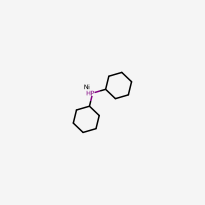 C1CCC(PC2CCCCC2)CC1.[Ni]